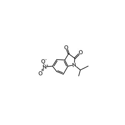 CC(C)N1C(=O)C(=O)c2cc([N+](=O)[O-])ccc21